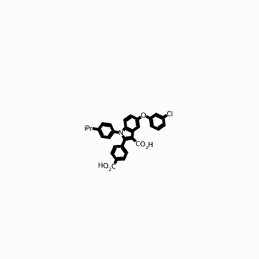 CC(C)c1ccc(-n2c(-c3ccc(C(=O)O)cc3)c(C(=O)O)c3cc(Oc4cccc(Cl)c4)ccc32)cc1